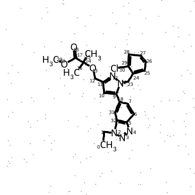 CCn1nnc2ccc(-c3cc(COC(C)(C)C(=O)OC)nn3Cc3ccccc3Cl)cc21